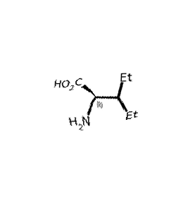 CCC(CC)[C@@H](N)C(=O)O